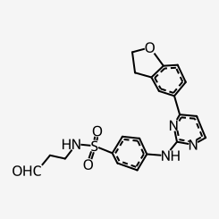 O=CCCNS(=O)(=O)c1ccc(Nc2nccc(-c3ccc4c(c3)CCO4)n2)cc1